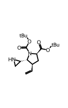 C=C[C@@H]1C[C@H](C(=O)OC(C)(C)C)N(C(=O)OC(C)(C)C)[C@H]1C1CN1